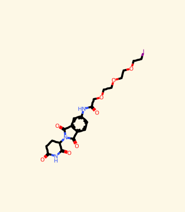 O=C1CCC(N2C(=O)c3ccc(NC(=O)COCCOCCOCCI)cc3C2=O)C(=O)N1